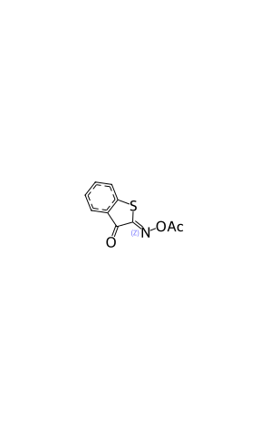 CC(=O)O/N=C1\Sc2ccccc2C1=O